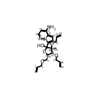 C=CCOC[C@H]1OC(O)(c2ccc3c(N)ccnn23)[C@](C)(OCC=C)[C@@H]1OCC=C